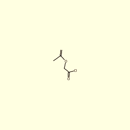 C=C(C)OCC(=O)Cl